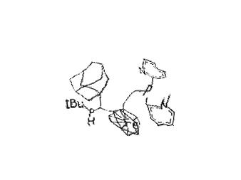 CC(C)(C)PC(C12CC3CC(CC(C3)C1)C2)[C]12[CH]3[CH]4[CH]5[C]1(CP(c1ccccn1)c1ccccn1)[Fe]45321678[CH]2[CH]1[CH]6[CH]7[CH]28